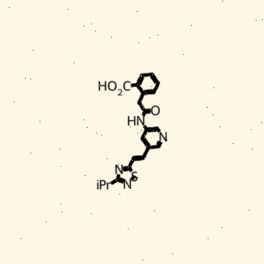 CC(C)c1nsc(C=Cc2cncc(NC(=O)Cc3ccccc3C(=O)O)c2)n1